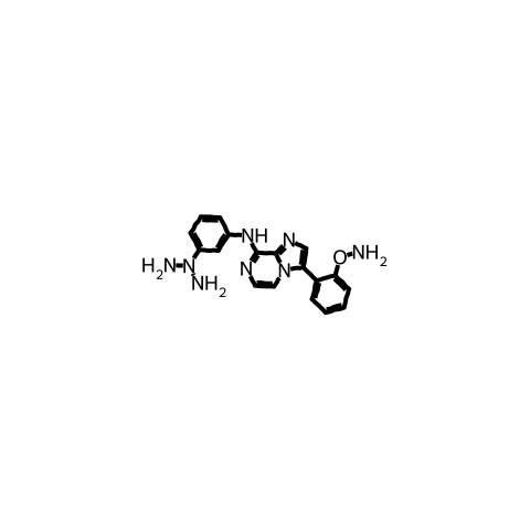 NOc1ccccc1-c1cnc2c(Nc3cccc(N(N)N)c3)nccn12